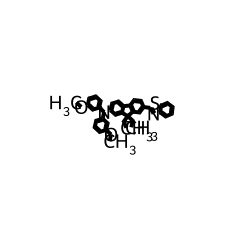 CCC1(CC)c2cc(-c3nc4ccccc4s3)ccc2-c2ccc(N(c3cccc(OC)c3)c3cccc(OC)c3)cc21